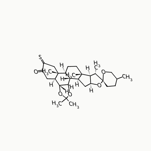 CC1CC[C@@]2(OC1)O[C@H]1C[C@H]3[C@@H]4[C@H]5OC(C)(C)O[C@@H]5[C@H]5CC(=O)C(=S)C[C@]5(C)[C@H]4CC[C@]3(C)[C@H]1[C@@H]2C